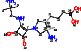 CC(C)(N)CNc1c(N2C[C@H](CCCB(O)O)[C@@](C)(N)C2)c(=O)c1=O